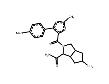 COc1ccc(-c2sc(C)nc2C(=O)N2CC3CC(C)CC3C2C(N)=O)cc1